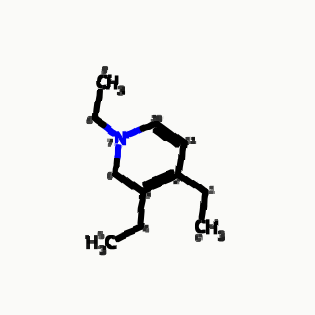 CCC1=C(CC)CN(CC)C=C1